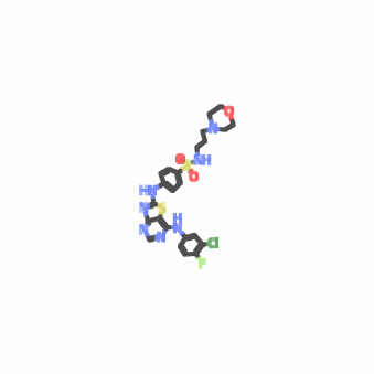 O=S(=O)(NCCCN1CCOCC1)c1ccc(Nc2nc3ncnc(Nc4ccc(F)c(Cl)c4)c3s2)cc1